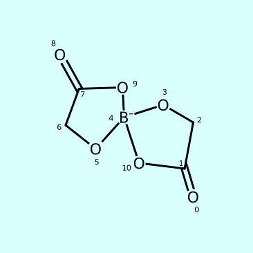 O=C1CO[B-]2(OCC(=O)O2)O1